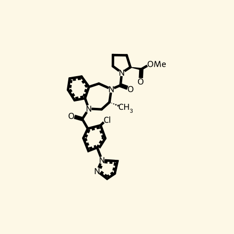 COC(=O)[C@@H]1CCCN1C(=O)N1Cc2ccccc2N(C(=O)c2ccc(-n3cccn3)cc2Cl)C[C@H]1C